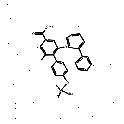 COC(=O)c1cc(Br)c(-c2ccc(O[Si](C)(C)C(C)(C)C)cc2)c(I)c1.c1ccc(-c2ccccc2)cc1